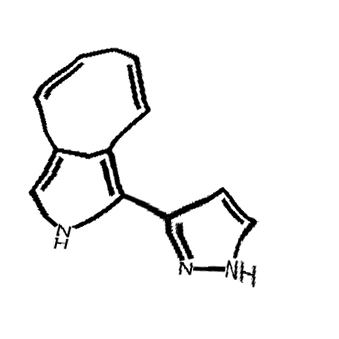 c1ccc2c(-c3cc[nH]n3)[nH]cc2c1